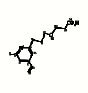 C=Cc1cc(C)nc(CCCOCCC(=O)O)c1